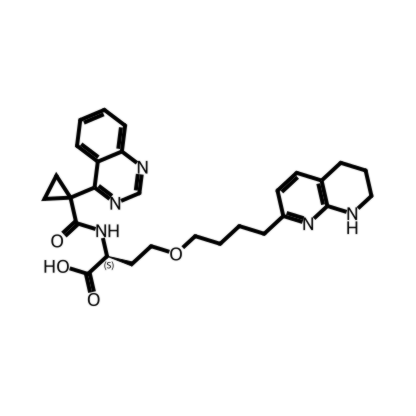 O=C(O)[C@H](CCOCCCCc1ccc2c(n1)NCCC2)NC(=O)C1(c2ncnc3ccccc23)CC1